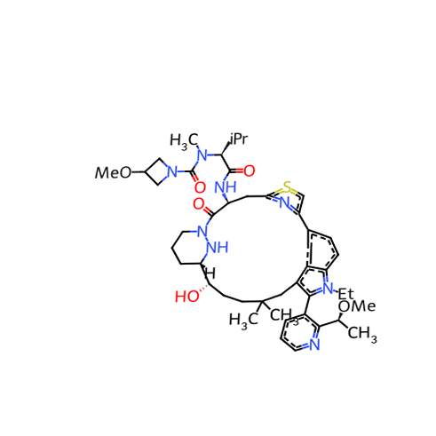 CCn1c(-c2cccnc2[C@H](C)OC)c2c3cc(ccc31)-c1csc(n1)C[C@H](NC(=O)[C@H](C(C)C)N(C)C(=O)N1CC(OC)C1)C(=O)N1CCC[C@H](N1)[C@@H](O)CCC(C)(C)C2